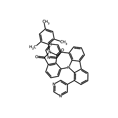 Cc1cc(C)c(N2C(=O)c3cccc(-n4c5c(-c6cncnc6)cccc5c5cccc(-c6cncnc6)c54)c3C2=O)c(C)c1